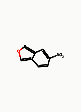 O=[N+]([O-])c1ccc2cobc2c1